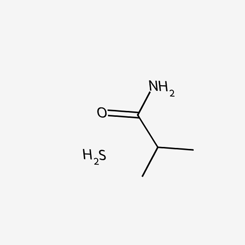 CC(C)C(N)=O.S